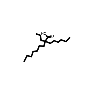 CCCCCCCC(CCC)(CCCCCC)C(=O)O